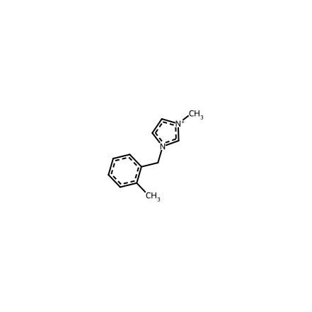 Cc1ccccc1Cn1cc[n+](C)c1